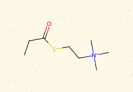 CCC(=O)SCC[N+](C)(C)C